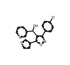 OC(c1cccnc1)c1c(-c2ccc(Cl)cc2)noc1-c1ccsc1